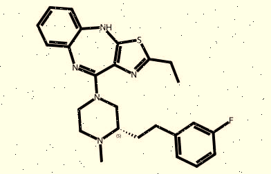 CCc1nc2c(s1)Nc1ccccc1N=C2N1CCN(C)[C@@H](CCc2cccc(F)c2)C1